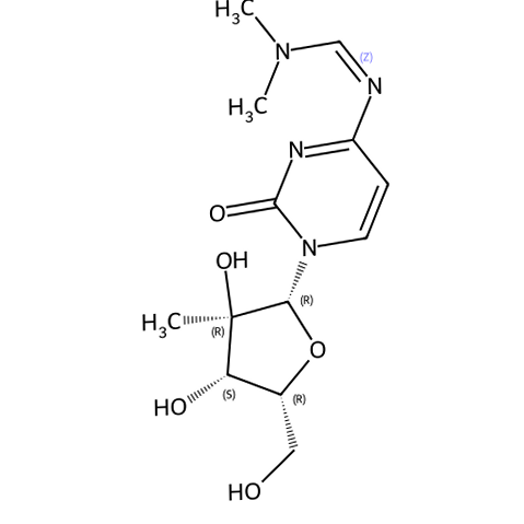 CN(C)/C=N\c1ccn([C@@H]2O[C@H](CO)[C@H](O)[C@@]2(C)O)c(=O)n1